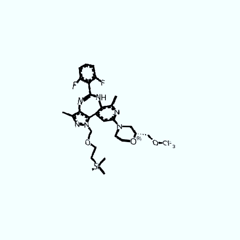 Cc1nn(COCC[Si](C)(C)C)c2c1N=C(c1c(F)cccc1F)Nc1c-2cc(N2CCO[C@@H](COC(F)(F)F)C2)nc1C